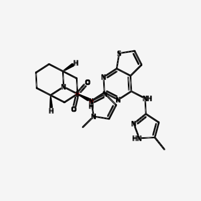 Cc1cc(Nc2nc(N[C@@H]3C[C@H]4CCC[C@@H](C3)N4S(=O)(=O)c3nccn3C)nc3sccc23)n[nH]1